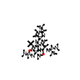 CN(C)P(C)(C)=NP(=NP(=NC(C)(C)C)(N=P(C)(N=P(C)(N(C)C)N(C)C)N(C)C)N=P(N=P(C)(N(C)C)N(C)C)(N(C)C)N(C)C)(N(C)C)N(C)C